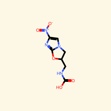 O=C(O)NCC1Cn2cc([N+](=O)[O-])nc2O1